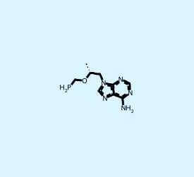 C[C@H](Cn1cnc2c(N)ncnc21)OCP